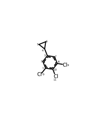 Clc1cc(C2CC2)cc(Cl)c1Cl